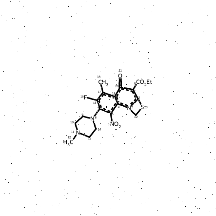 CCOC(=O)c1c2n(c3c([N+](=O)[O-])c(N4CCN(C)CC4)c(F)c(C)c3c1=O)CS2